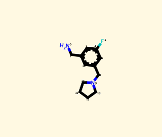 NCc1cc(F)cc(CN2CCCC2)c1